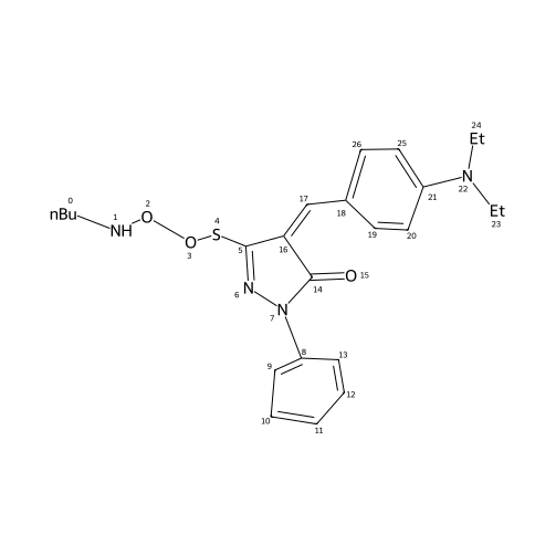 CCCCNOOSC1=NN(c2ccccc2)C(=O)/C1=C\c1ccc(N(CC)CC)cc1